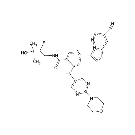 CC(C)(O)C(F)CNC(=O)c1cnc(-c2ccc3cc(C#N)cnn23)cc1Nc1cnc(N2CCOCC2)nc1